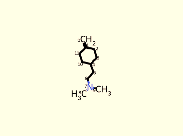 C=C1CCC(CCN(C)C)CC1